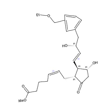 CCOCc1cccc(C[C@@H](O)/C=C/[C@H]2[C@H](O)CC(=O)[C@@H]2C/C=C\CCCC(=O)OC)c1